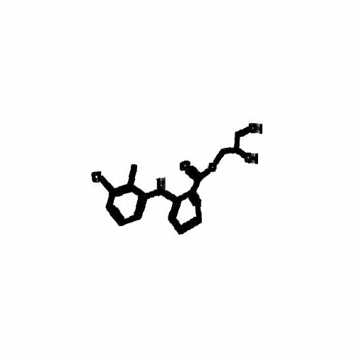 Cc1c(Cl)cccc1Nc1ccccc1C(=O)OCC(O)CO